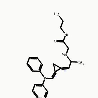 CC(/C=C1\C\C1=C/P(c1ccccc1)c1ccccc1)NCC(=O)NCCO